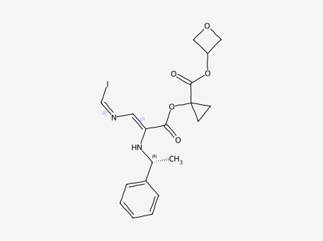 C[C@@H](N/C(=C\N=C/I)C(=O)OC1(C(=O)OC2COC2)CC1)c1ccccc1